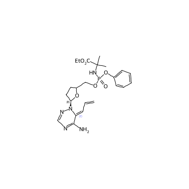 C=C/C=C1/C(N)=NC=NN1[C@H]1CCC(COP(=O)(NC(C)(C)C(=O)OCC)Oc2ccccc2)O1